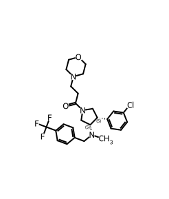 CN(Cc1ccc(C(F)(F)F)cc1)[C@@H]1CN(C(=O)CCN2CCOCC2)C[C@@H]1c1cccc(Cl)c1